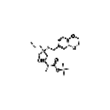 CCCC(CO)(CCC(C)C(=O)OC(C)(C)C)NCc1ccc2c(c1)OCCO2